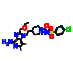 CCOCc1nc2c(N)nc(C)c(C)c2n1CCC1CCN(C(=O)NS(=O)(=O)c2ccc(Cl)cc2)CC1